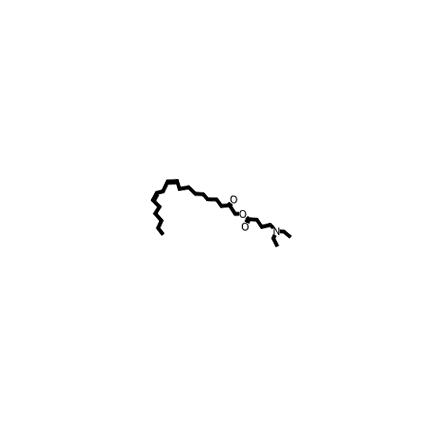 CCCCC/C=C\C/C=C\CCCCCCCC(=O)COC(=O)CCCN(CC)CC